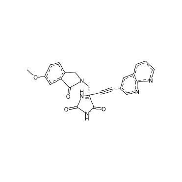 COc1ccc2c(c1)C(=O)N(C[C@@]1(C#Cc3cnc4ncccc4c3)NC(=O)NC1=O)C2